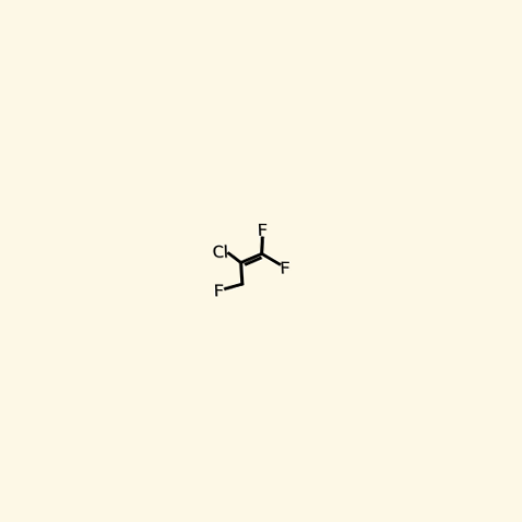 FCC(Cl)=C(F)F